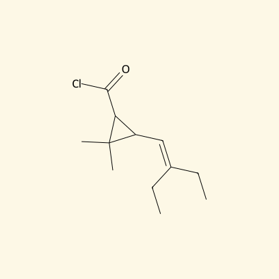 CCC(=CC1C(C(=O)Cl)C1(C)C)CC